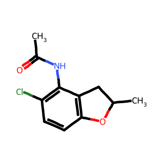 CC(=O)Nc1c(Cl)ccc2c1CC(C)O2